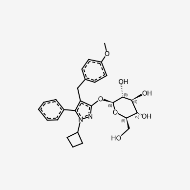 COc1ccc(Cc2c(O[C@@H]3O[C@H](CO)[C@@H](O)[C@H](O)[C@H]3O)nn(C3CCC3)c2-c2ccccc2)cc1